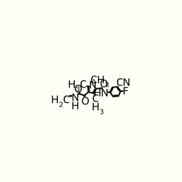 C=CNC(=O)C(=O)c1c(C)c(C(=O)Nc2ccc(F)c(C#N)c2)n(C)c1C